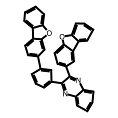 c1cc(-c2ccc3c(c2)oc2ccccc23)cc(-c2nc3ccccc3nc2-c2ccc3oc4ccccc4c3c2)c1